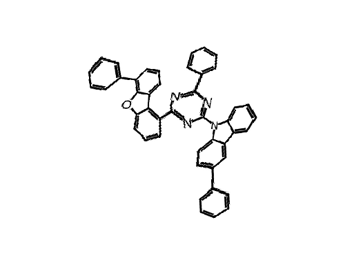 c1ccc(-c2ccc3c(c2)c2ccccc2n3-c2nc(-c3ccccc3)nc(-c3cccc4oc5c(-c6ccccc6)cccc5c34)n2)cc1